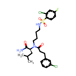 CC(C)C[C@@H](C(N)=O)N(CCCCNS(=O)(=O)c1ccc(F)cc1Cl)C(=O)CCc1cccc(Cl)c1